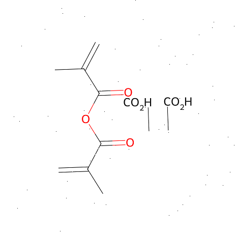 C=C(C)C(=O)OC(=O)C(=C)C.CC(=O)O.CC(=O)O